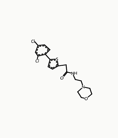 O=C(Cc1ccc(-c2ccc(Cl)cc2Cl)s1)NCCN1CCOCC1